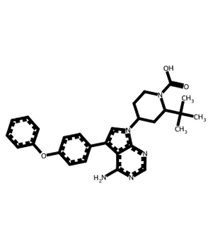 CC(C)(C)C1CC(n2cc(-c3ccc(Oc4ccccc4)cc3)c3c(N)ncnc32)CCN1C(=O)O